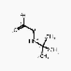 [2H]C(=O)CNC(C)(C)C